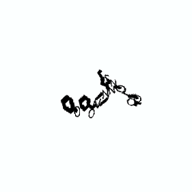 CCc1cc2c(N3CCN(C(=O)c4cccc(Oc5ccccc5)c4)CC3)nc(OC[C@H]3COC(C)(C)O3)nc2s1